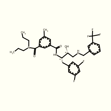 CCCN(CCC)C(=O)c1cc(C)cc(C(=O)N[C@@H](Cc2cc(F)cc(F)c2)[C@H](O)CNCc2cccc(C(F)(F)F)c2)c1